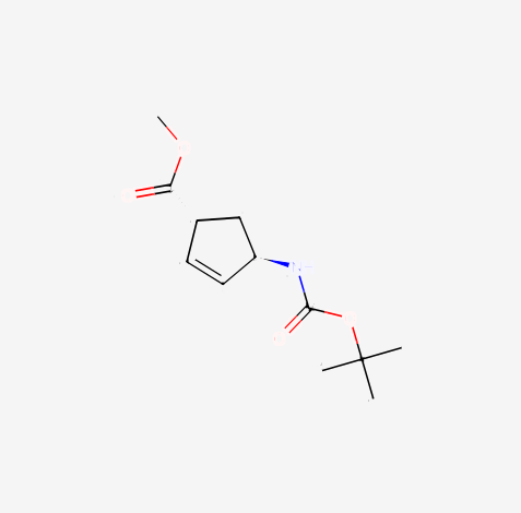 COC(=O)[C@H]1C=C[C@H](NC(=O)OC(C)(C)C)C1